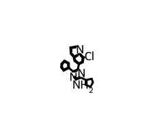 Nc1nc(-c2ccccc2)c(-c2cc(Cl)c3ncccc3c2)nc1C1CCCC1